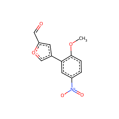 COc1ccc([N+](=O)[O-])cc1-c1coc(C=O)c1